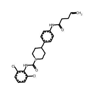 C=CCCC(=O)Nc1ccc(C2CCN(C(=O)Nc3c(Cl)cccc3Cl)CC2)cc1